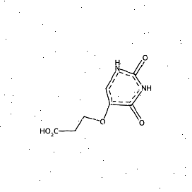 O=C(O)CCOc1c[nH]c(=O)[nH]c1=O